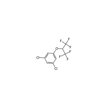 FC(F)(F)C(Oc1cc(Cl)[c]c(Cl)c1)C(F)(F)F